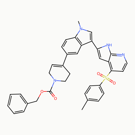 Cc1ccc(S(=O)(=O)c2ccnc3[nH]c(-c4cn(C)c5ccc(C6=CCN(C(=O)OCc7ccccc7)CC6)cc45)cc23)cc1